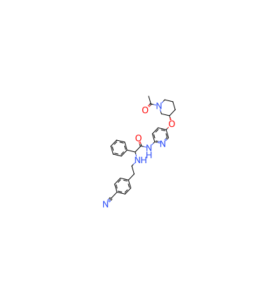 CC(=O)N1CCC[C@@H](Oc2ccc(NC(=O)C(NCCc3ccc(C#N)cc3)c3ccccc3)nc2)C1